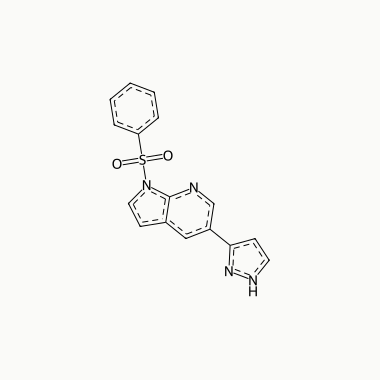 O=S(=O)(c1ccccc1)n1ccc2cc(-c3cc[nH]n3)cnc21